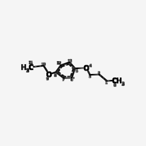 CCCCOc1[c]cc(OCC)cc1